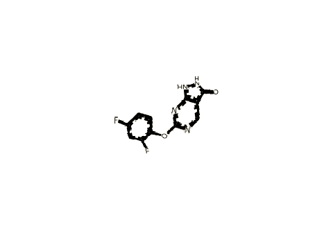 O=c1[nH][nH]c2nc(Oc3ccc(F)cc3F)ncc12